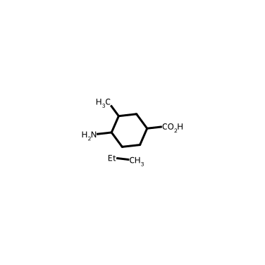 CC1CC(C(=O)O)CCC1N.CCC